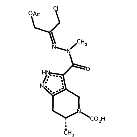 CC(=O)OC/C(CCl)=N/N(C)C(=O)c1[nH]nc2c1CN(C(=O)O)[C@H](C)C2